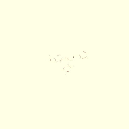 NS(=O)(=O)c1ccc(-c2oc(Cc3ccccc3)nc2-c2ccc(Cl)cc2Cl)cc1